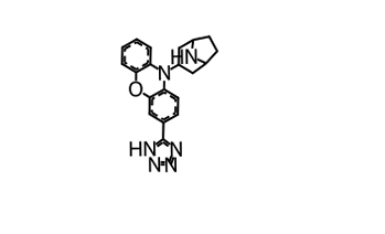 c1ccc2c(c1)Oc1cc(-c3nnn[nH]3)ccc1N2C1CC2CCC(C1)N2